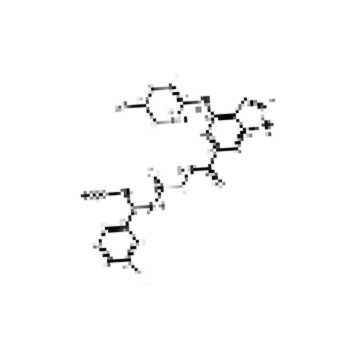 O=C(O)NC(NC(=O)CNC(=O)c1cc(NC2=NCC(F)CN2)c2cn[nH]c2c1)c1cccc(Cl)c1